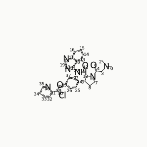 CN(C)CC(=O)N1CCC[C@@H]1COc1cccc2ncnc(Nc3cccc(OC(Cl)c4ccccn4)c3)c12